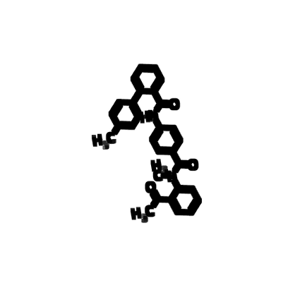 CC(=O)c1ccccc1N(C)C(=O)c1ccc(NC(=O)c2ccccc2-c2ccc(C)cc2)cc1